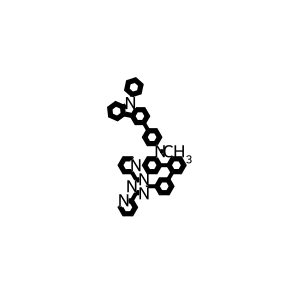 CN(c1ccc(-c2ccc3c(c2)c2ccccc2n3-c2ccccc2)cc1)c1ccccc1-c1ccccc1-c1cccc(-c2nc(-c3ccccn3)nc(-c3ccccn3)n2)c1